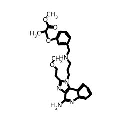 COCCc1nc2c(N)nc3ccccc3c2n1CCCNCc1cccc(OC(C)C(=O)OC)c1